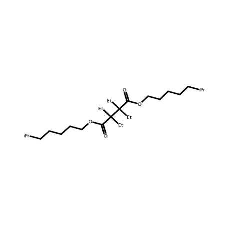 CCC(CC)(C(=O)OCCCCCC(C)C)C(CC)(CC)C(=O)OCCCCCC(C)C